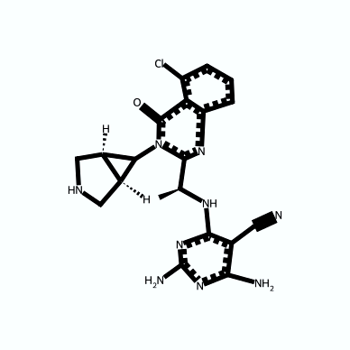 C[C@H](Nc1nc(N)nc(N)c1C#N)c1nc2cccc(Cl)c2c(=O)n1C1[C@H]2CNC[C@@H]12